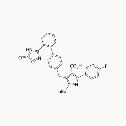 CCCCc1nc(-c2ccc(F)cc2)c(C(=O)O)n1Cc1ccc(-c2ccccc2-c2noc(=O)[nH]2)cc1